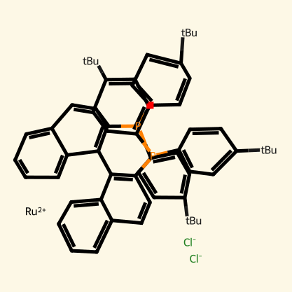 CC(C)(C)c1ccc(P(c2ccc(C(C)(C)C)cc2)c2ccc3ccccc3c2-c2c(P(c3ccc(C(C)(C)C)cc3)c3ccc(C(C)(C)C)cc3)ccc3ccccc23)cc1.[Cl-].[Cl-].[Ru+2]